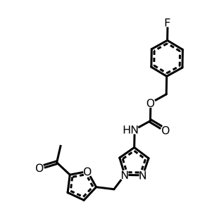 CC(=O)c1ccc(Cn2cc(NC(=O)OCc3ccc(F)cc3)cn2)o1